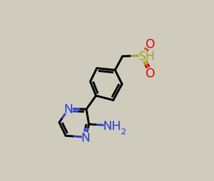 Nc1nccnc1-c1ccc(C[SH](=O)=O)cc1